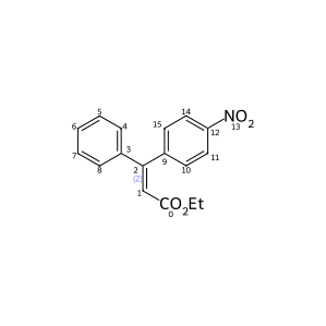 CCOC(=O)/C=C(/c1ccccc1)c1ccc([N+](=O)[O-])cc1